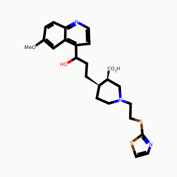 COc1ccc2nccc(C(O)CC[C@@H]3CCN(CCSc4nccs4)C[C@@H]3C(=O)O)c2c1